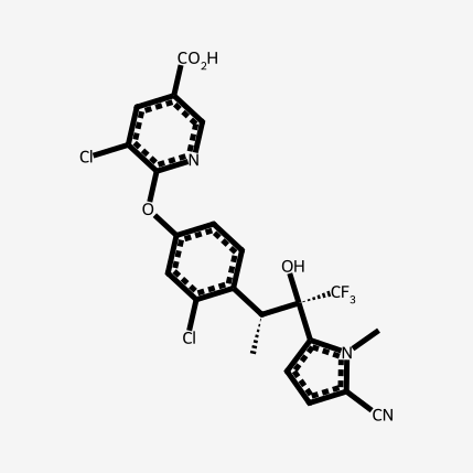 C[C@H](c1ccc(Oc2ncc(C(=O)O)cc2Cl)cc1Cl)[C@@](O)(c1ccc(C#N)n1C)C(F)(F)F